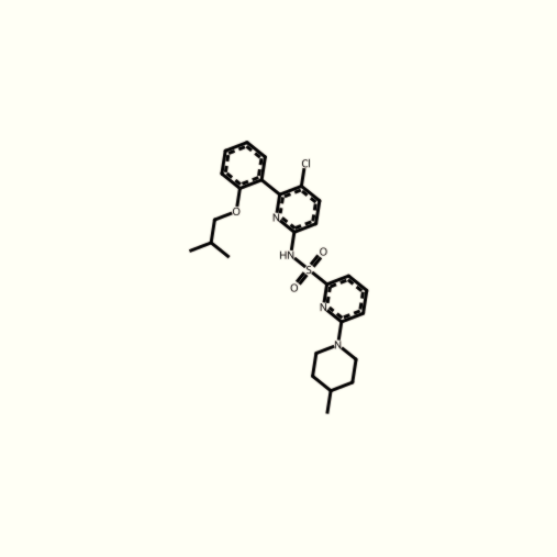 CC(C)COc1ccccc1-c1nc(NS(=O)(=O)c2cccc(N3CCC(C)CC3)n2)ccc1Cl